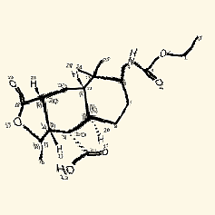 CCOC(=O)NC1CC[C@H]2[C@H](C(=O)O)[C@@H]3[C@@H](C)OC(=O)[C@@H]3C[C@@H]2C1(C)C